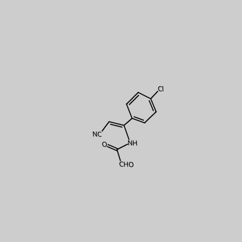 N#C/C=C(\NC(=O)C=O)c1ccc(Cl)cc1